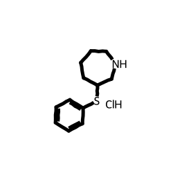 Cl.c1ccc(SC2CCCCNC2)cc1